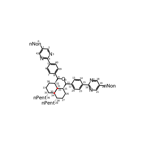 CCCCCCCCCc1cnc(-c2ccc(C(OC(c3ccc(-c4ncc(CCCCCCCCC)cn4)cc3)[C@H]3CC[C@H](CCCCC)CC3)[C@H]3CC[C@H](CCCCC)CC3)cc2)nc1